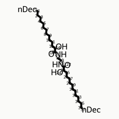 CCCCCCCCCCCCCCCCCCCCCCC(O)C(=O)NCCNC(=O)C(O)CCCCCCCCCCCCCCCCCCCCCC